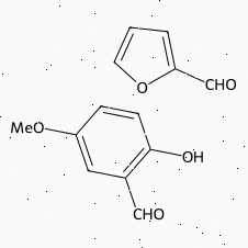 COc1ccc(O)c(C=O)c1.O=Cc1ccco1